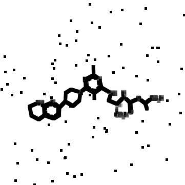 Cc1nc(NC[C@H](NC(=O)OC(C)C(=O)O)C(=O)O)c(C)c(N2CCC(c3ccc4c(n3)NCCC4)CC2)n1